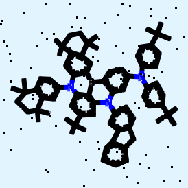 CC(C)(C)c1ccc(N(c2ccc(C(C)(C)C)cc2)c2ccc3c(c2)N(c2ccc4c(c2)-c2ccccc2C4)c2cc(C(C)(C)C)cc4c2B3c2cc3c(cc2N4c2ccc4c(c2)C(C)(C)CCC4(C)C)C(C)(C)CCC3(C)C)cc1